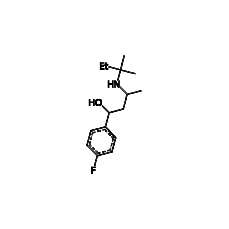 CCC(C)(C)NC(C)CC(O)c1ccc(F)cc1